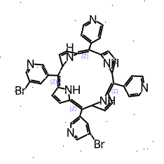 Brc1cncc(/C2=c3\cc/c([nH]3)=C(\c3cncc(Br)c3)C3C=C/C(=C(\c4ccncc4)c4ccc([nH]4)/C(c4ccncc4)=C4/C=CC2N4)N3)c1